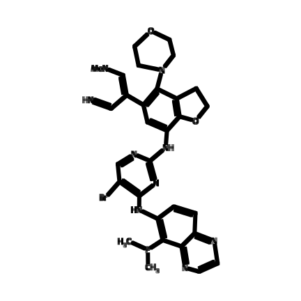 CN/C=C(\C=N)c1cc(Nc2ncc(Br)c(Nc3ccc4nccnc4c3P(C)C)n2)c2c(c1N1CCOCC1)CCO2